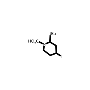 CC(C)(C)C1CC(I)CCN1C(=O)O